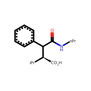 CCCNC(=O)C(c1ccccc1)[C@@H](C(=O)O)C(C)C